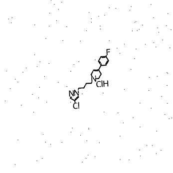 Cl.Fc1ccc(C2=CCN(CCCCn3cc(Cl)cn3)CC2)cc1